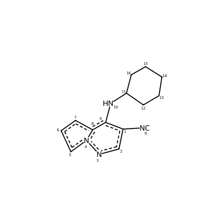 [C-]#[N+]c1cnn2cccc2c1NC1CCCCC1